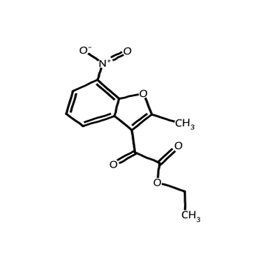 CCOC(=O)C(=O)c1c(C)oc2c([N+](=O)[O-])cccc12